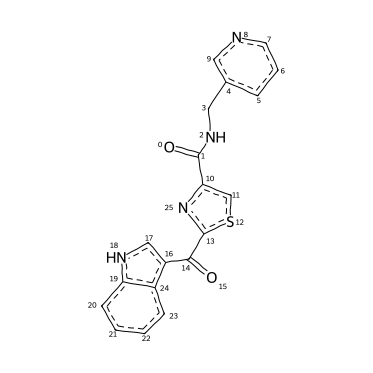 O=C(NCc1cccnc1)c1csc(C(=O)c2c[nH]c3ccccc23)n1